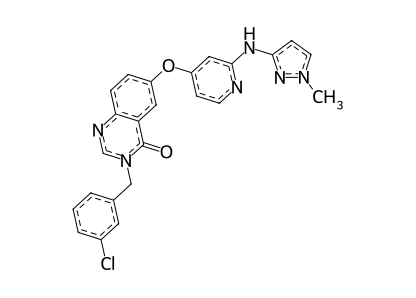 Cn1ccc(Nc2cc(Oc3ccc4ncn(Cc5cccc(Cl)c5)c(=O)c4c3)ccn2)n1